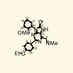 CCOc1ccc(-c2nc(CNC)c3[nH]c(=O)n(-c4ccccc4OC)c3n2)cc1